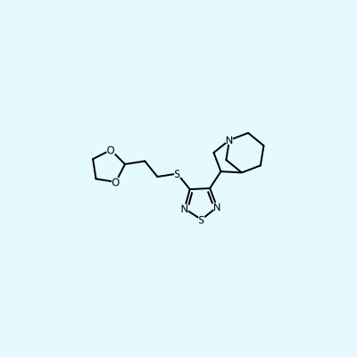 C1CC2CN(C1)CC2c1nsnc1SCCC1OCCO1